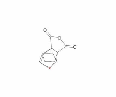 O=C1OC(=O)C23C4CCC(C4)C12C1CCC3C1